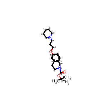 CC(C)(C)OC(=O)N1CCc2cc(OCCCN3CCCCC3)ccc2C1